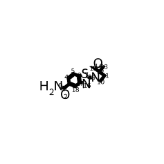 NC(=O)c1ccc2sc(N3CCC34COC4)nc2c1